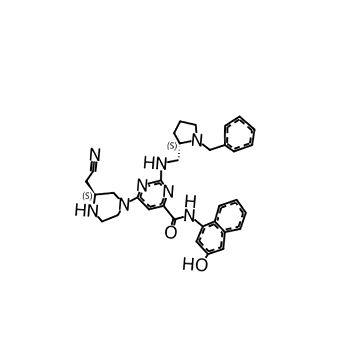 N#CC[C@H]1CN(c2cc(C(=O)Nc3cc(O)cc4ccccc34)nc(NC[C@@H]3CCCN3Cc3ccccc3)n2)CCN1